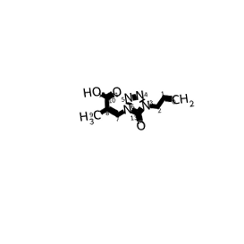 C=CCn1nnn(C=C(C)C(=O)O)c1=O